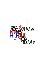 COC(=O)c1cc(S(=O)(=O)c2ccc(OC)cc2)c(N)c(O)c1Cc1ccccc1